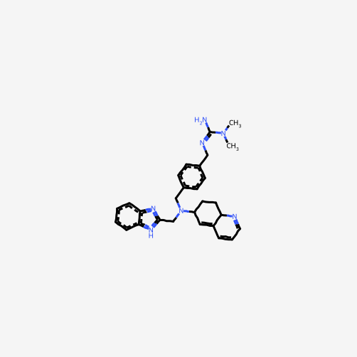 CN(C)C(N)=NCc1ccc(CN(Cc2nc3ccccc3[nH]2)C2C=C3C=CC=NC3CC2)cc1